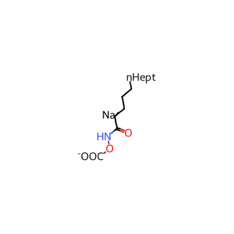 CCCCCCCCCCCC(=O)NOC(=O)[O-].[Na+]